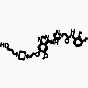 COc1cc2c(Nc3cnn(CC(=O)Nc4cccc(F)c4F)c3)ncnc2cc1OCCN1CCN(CCCO)CC1